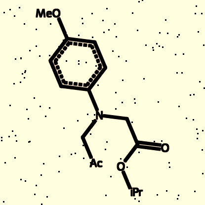 COc1ccc(N(CC(C)=O)CC(=O)OC(C)C)cc1